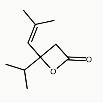 CC(C)=CC1(C(C)C)CC(=O)O1